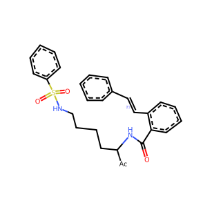 CC(=O)C(CCCCNS(=O)(=O)c1ccccc1)NC(=O)c1ccccc1/C=C/c1ccccc1